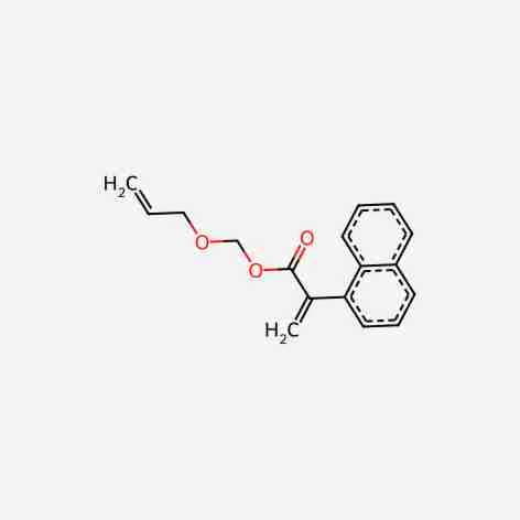 C=CCOCOC(=O)C(=C)c1cccc2ccccc12